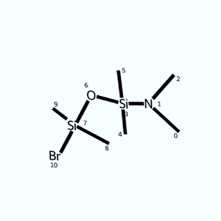 CN(C)[Si](C)(C)O[Si](C)(C)Br